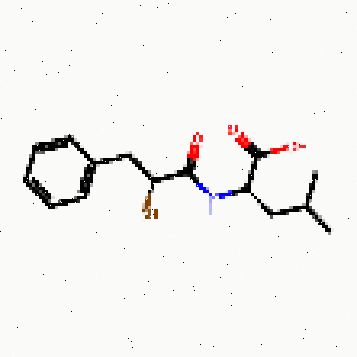 CC(C)C[C@@H](NC(=O)[C@@H](S)Cc1ccccc1)C(=O)O